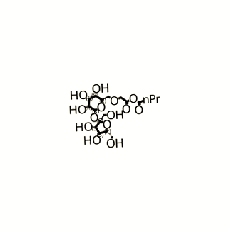 CCCC(=O)OC(=O)COC[C@H]1O[C@H](O[C@]2(CO)O[C@H](CO)[C@@H](O)[C@@H]2O)[C@H](O)[C@@H](O)[C@@H]1O